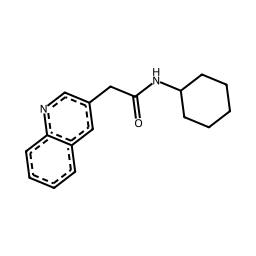 O=C(Cc1cnc2ccccc2c1)NC1CCCCC1